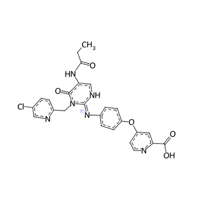 CCC(=O)Nc1c[nH]/c(=N\c2ccc(Oc3ccnc(C(=O)O)c3)cc2)n(Cc2ccc(Cl)cn2)c1=O